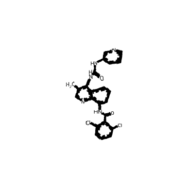 Cc1cnc2c(NC(=O)c3c(Cl)cccc3Cl)cccc2c1NC(=O)Nc1cccnc1